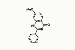 COc1ccc2c(=O)nc(-c3cccnc3)[nH]c2c1